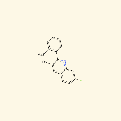 CCc1cc2ccc(F)cc2nc1-c1ccccc1SC